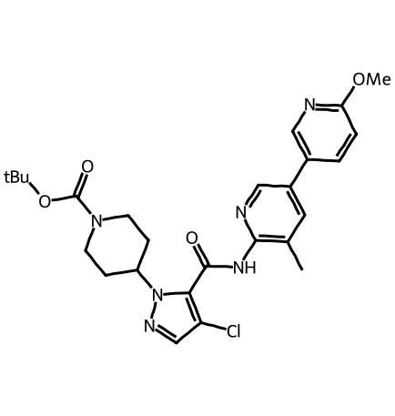 COc1ccc(-c2cnc(NC(=O)c3c(Cl)cnn3C3CCN(C(=O)OC(C)(C)C)CC3)c(C)c2)cn1